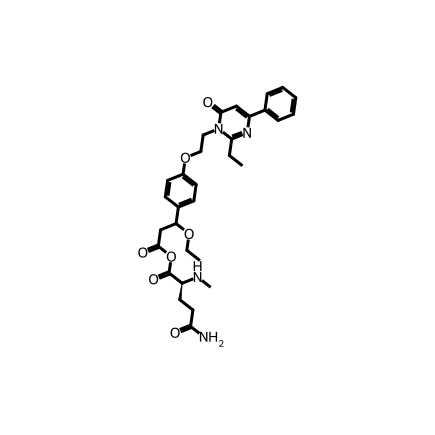 CCOC(CC(=O)OC(=O)[C@H](CCC(N)=O)NC)c1ccc(OCCn2c(CC)nc(-c3ccccc3)cc2=O)cc1